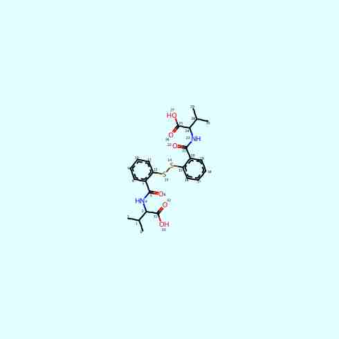 CC(C)C(NC(=O)c1ccccc1SSc1ccccc1C(=O)NC(C(=O)O)C(C)C)C(=O)O